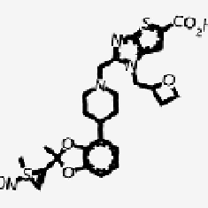 CC1(C2=CS2(C)N=O)Oc2cccc(C3CCN(Cc4nc5sc(C(=O)O)cc5n4CC4CCO4)CC3)c2O1